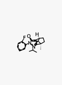 CC(C)n1c2c(c(=O)n1-c1ccccc1F)[C@H]1CC[C@]2(C)C1(C)C